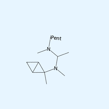 CCCC(C)N(C)C(C)N(C)C1(C)C2CC21